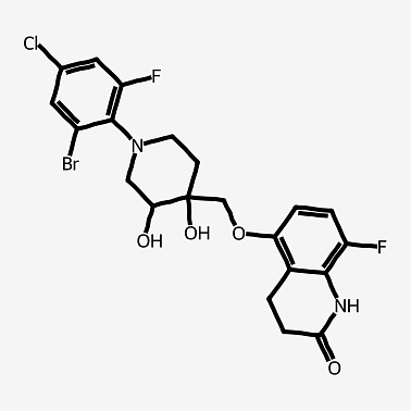 O=C1CCc2c(OCC3(O)CCN(c4c(F)cc(Cl)cc4Br)CC3O)ccc(F)c2N1